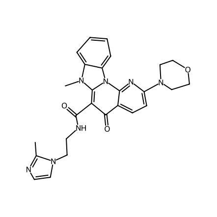 Cc1nccn1CCNC(=O)c1c(=O)c2ccc(N3CCOCC3)nc2n2c3ccccc3n(C)c12